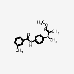 CON=C(C)N(C)c1ccc(NC(=O)c2cccc(C)c2)cc1